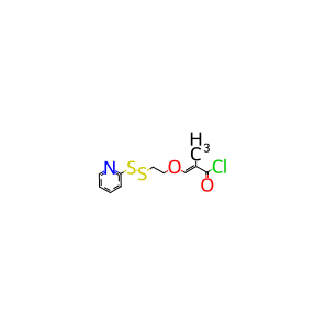 C/C(=C\OCCSSc1ccccn1)C(=O)Cl